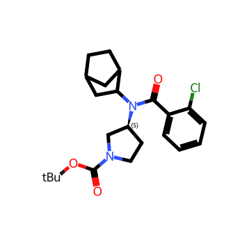 CC(C)(C)OC(=O)N1CC[C@H](N(C(=O)c2ccccc2Cl)C2CC3CCC2C3)C1